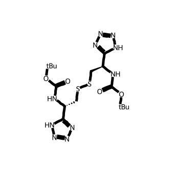 CC(C)(C)OC(=O)N[C@@H](CSSC[C@@H](NC(=O)OC(C)(C)C)c1nnn[nH]1)c1nnn[nH]1